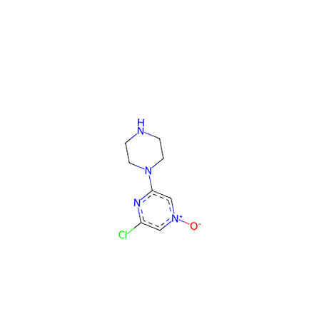 [O-][n+]1cc(Cl)nc(N2CCNCC2)c1